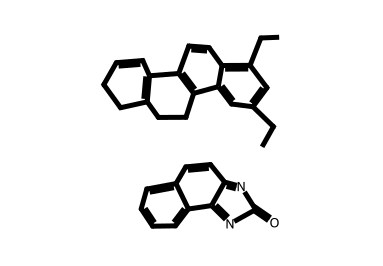 CCc1cc(CC)c2ccc3c(c2c1)CCC1=C3C=CCC1.O=C1N=c2ccc3ccccc3c2=N1